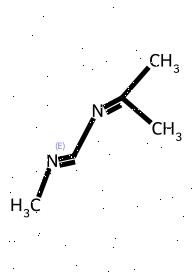 C/N=C/N=C(C)C